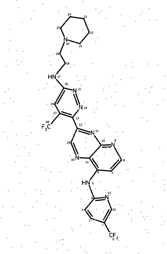 FC(F)(F)c1ccc(Nc2ccnc3nc(-c4nnc(NCCN5CCCCC5)cc4C(F)(F)F)cnc23)nc1